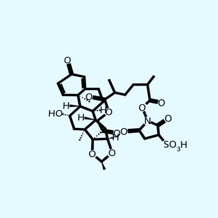 CC(CCC(C)C(=O)ON1C(=O)CC(S(=O)(=O)O)C1=O)C(=O)OCC(=O)[C@@]12O[C@H](C)O[C@@H]1C[C@H]1[C@@H]3CCC4=CC(=O)C=C[C@]4(C)[C@H]3[C@@H](O)C[C@@]12C